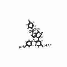 CC(=O)Nc1cnc(Oc2ccc(OC(C)=O)cc2)c(-c2cn(C)c(=O)c3c2ccn3S(=O)(=O)c2ccc(C)cc2)c1